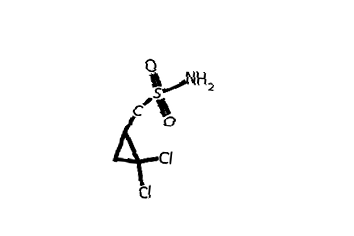 NS(=O)(=O)CC1CC1(Cl)Cl